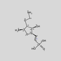 B[C@@H]1O[C@H](/C=C/P(=O)(O)O)[C@H](O)C1OCN